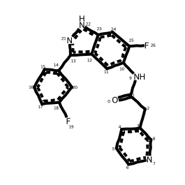 O=C(Cc1cccnc1)Nc1cc2c(-c3cccc(F)c3)n[nH]c2cc1F